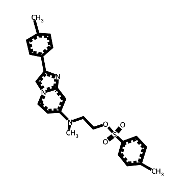 Cc1ccc(-c2cn3ccc(N(C)CCOS(=O)(=O)c4ccc(C)cc4)cc3n2)cc1